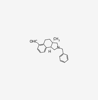 C[C@@]12CCc3c(C=O)cccc3[C@@H]1CN(Cc1ccccc1)C2